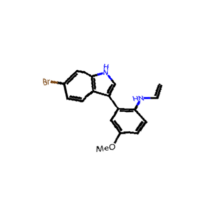 C=CNc1ccc(OC)cc1-c1c[nH]c2cc(Br)ccc12